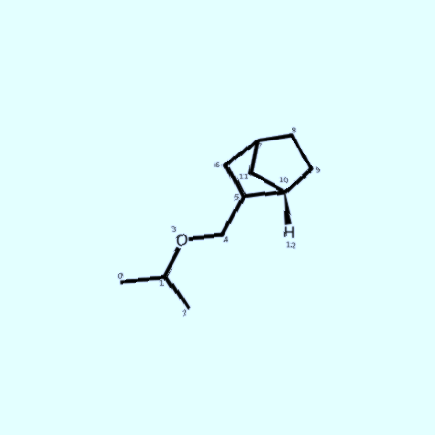 CC(C)OCC1CC2CC[C@H]1C2